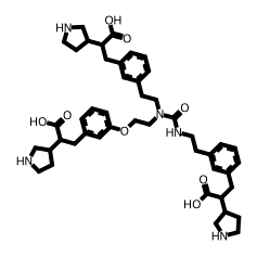 O=C(O)C(Cc1cccc(CCNC(=O)N(CCOc2cccc(CC(C(=O)O)C3CCNC3)c2)CCc2cccc(CC(C(=O)O)C3CCNC3)c2)c1)C1CCNC1